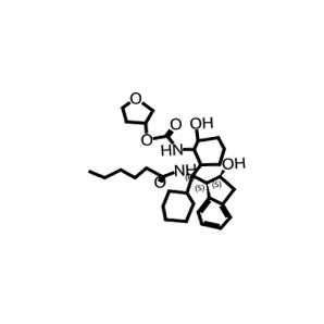 CCCCCC(=O)N[C@](C1CCCCC1)(C1CCCC(O)C1NC(=O)OC1CCOC1)[C@@H]1c2ccccc2C[C@@H]1O